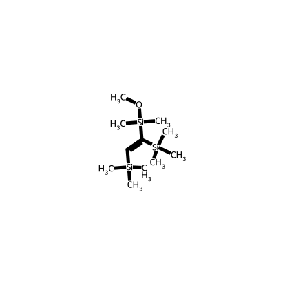 CO[Si](C)(C)/C(=C/[Si](C)(C)C)[Si](C)(C)C